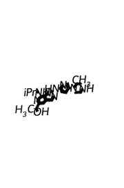 CC(C)Nc1nc([C@@H](C)O)cc2cnc(Nc3ccc(N4CCNC[C@H]4C)cn3)nc12